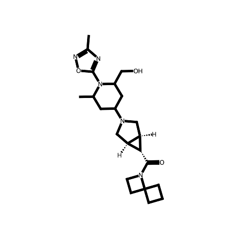 Cc1noc(N2C(C)CC(N3C[C@@H]4[C@H](C3)[C@H]4C(=O)N3CCC34CCC4)CC2CO)n1